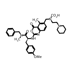 COc1ccc(C[C@H](Nc2nc3ccc(CN(CCN4CCCCC4)C(=O)O)c(C)c3c(=O)o2)C(=O)N(C)Cc2ccccc2)cc1